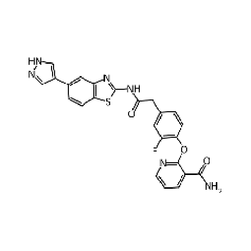 NC(=O)c1cccnc1Oc1ccc(CC(=O)Nc2nc3cc(-c4cn[nH]c4)ccc3s2)cc1F